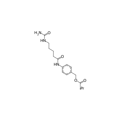 CC(C)C(=O)OCc1ccc(NC(=O)CCCCNC(N)=O)cc1